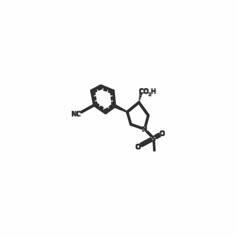 CS(=O)(=O)N1C[C@@H](C(=O)O)[C@H](c2cccc(C#N)c2)C1